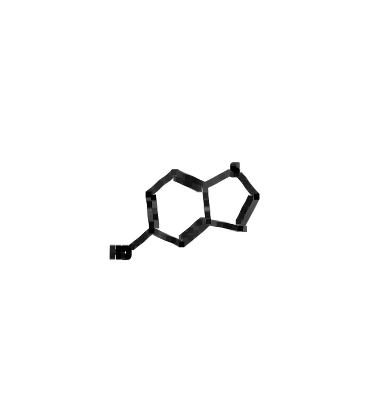 Oc1ccc2sc[c]c2c1